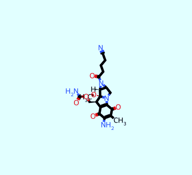 CO[C@@]12[C@H](COC(N)=O)C3=C(C(=O)C(C)=C(N)C3=O)N1CC1[C@@H]2N1C(=O)CCCC#N